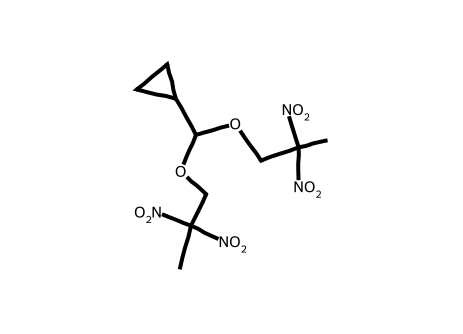 CC(COC(OCC(C)([N+](=O)[O-])[N+](=O)[O-])C1CC1)([N+](=O)[O-])[N+](=O)[O-]